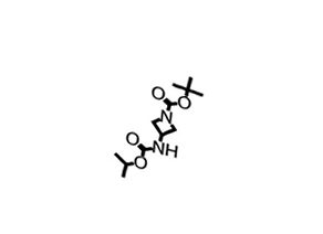 CC(C)OC(=O)NC1CN(C(=O)OC(C)(C)C)C1